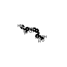 C[C@H]1c2cc(Oc3ccnc4[nH]c(C5(O)COC5)cc34)ccc2CCN1C(=O)Nc1ccc(CN2CCNCC2)c(C(F)(F)F)c1